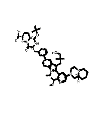 CCn1c(-c2cc(N3CCN4CCCC[C@@H]4C3)cnc2C(C)OC)c(CC(C)(C)CO)c2cc(-c3cccc(C[C@H](NC(=O)OC(C)(C)C)C(=O)N4CCC[C@@H](C(=O)O)N4)c3)ccc21